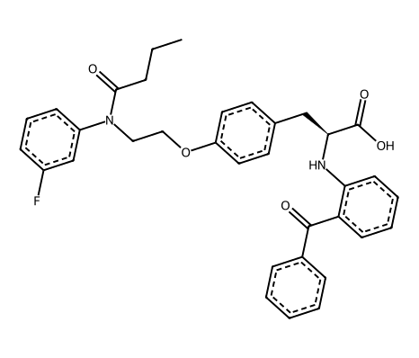 CCCC(=O)N(CCOc1ccc(C[C@H](Nc2ccccc2C(=O)c2ccccc2)C(=O)O)cc1)c1cccc(F)c1